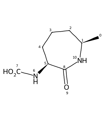 C[C@@H]1CCC[C@H](NC(=O)O)C(=O)N1